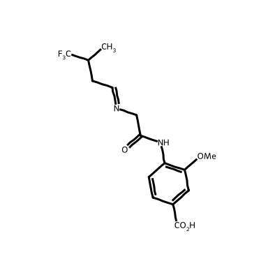 COc1cc(C(=O)O)ccc1NC(=O)CN=CCC(C)C(F)(F)F